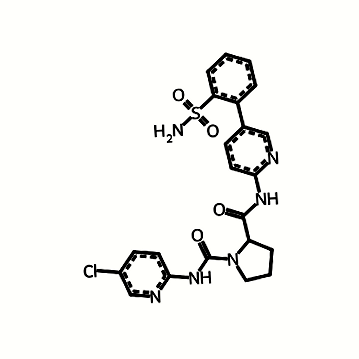 NS(=O)(=O)c1ccccc1-c1ccc(NC(=O)C2CCCN2C(=O)Nc2ccc(Cl)cn2)nc1